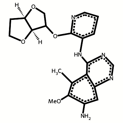 COc1c(N)cc2ncnc(Nc3cccnc3OC3CO[C@@H]4CCO[C@H]34)c2c1C